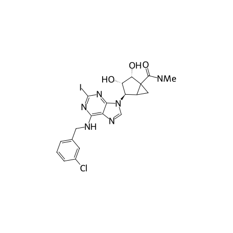 CNC(=O)C12CC1[C@@H](n1cnc3c(NCc4cccc(Cl)c4)nc(I)nc31)[C@H](O)[C@@H]2O